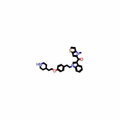 Cn1c(C(=O)c2cn(CCc3ccc(OCCC4CCNCC4)cc3)c3ccccc23)cc2sccc21